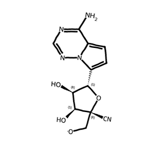 N#C[C@]1(C[O])O[C@@H](c2ccc3c(N)ncnn23)[C@H](O)[C@@H]1O